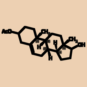 CC(=O)OC1CC[C@@]2(C)C(=CC[C@@H]3[C@H]2CC[C@]2(C)C(O)CC[C@@H]32)C1